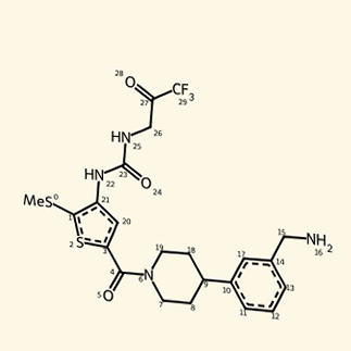 CSc1sc(C(=O)N2CCC(c3cccc(CN)c3)CC2)cc1NC(=O)NCC(=O)C(F)(F)F